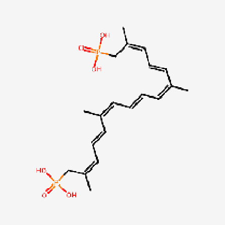 CC(C=CC=C(C)CP(=O)(O)O)=CC=CC=C(C)C=CC=C(C)CP(=O)(O)O